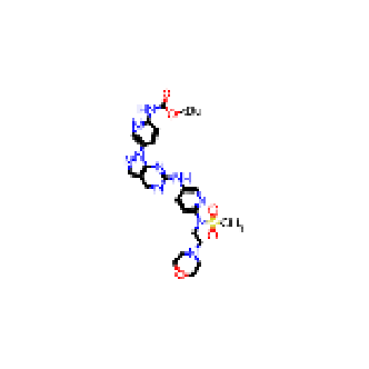 CC(C)(C)OC(=O)Nc1ccc(-n2ncc3cnc(Nc4ccc(N(CCN5CCOCC5)S(C)(=O)=O)nc4)nc32)cn1